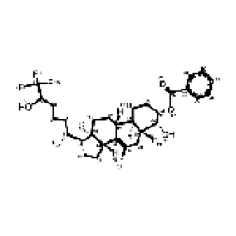 C[C@H](CCCC(O)C(F)(F)F)[C@H]1CC[C@H]2C3=C(F)C[C@H]4[C@@H](O)[C@@H](OC(=O)c5ccccc5)CC[C@]4(C)[C@H]3CC[C@]12C